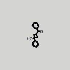 O=C(c1ccccc1)C1CC(O)(c2ccccc2)C1